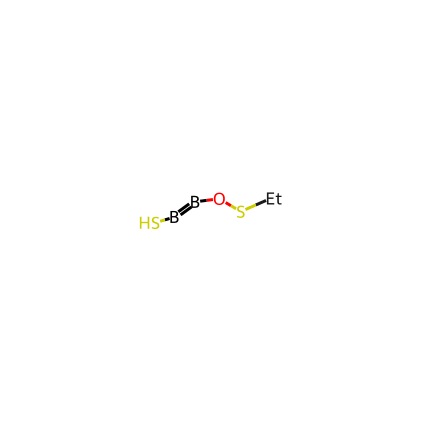 CCSOB=BS